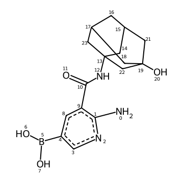 Nc1ncc(B(O)O)cc1C(=O)NC12CC3CC(CC(O)(C3)C1)C2